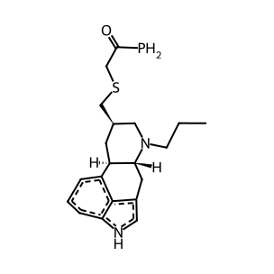 CCCN1C[C@H](CSCC(=O)P)C[C@@H]2c3cccc4[nH]cc(c34)C[C@H]21